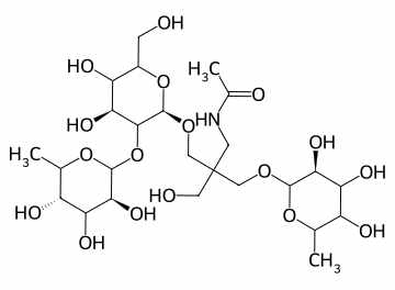 CC(=O)NCC(CO)(COC1OC(C)C(O)C(O)[C@@H]1O)CO[C@@H]1OC(CO)C(O)[C@H](O)C1OC1OC(C)[C@@H](O)C(O)[C@@H]1O